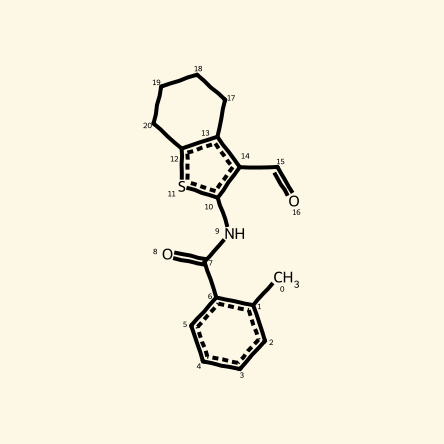 Cc1ccccc1C(=O)Nc1sc2c(c1C=O)CCCC2